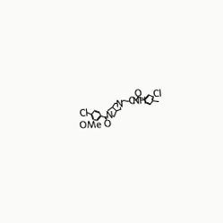 COc1cc(Cl)ccc1C(=O)N1CC2CN(CCCNC(=O)c3ccc(C)c(Cl)c3)CC2C1